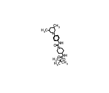 CC1CC(C)CN(c2ccc(NC(=O)N3CCC(NS(=O)(=O)C(C)(C)C)CC3)cc2)C1